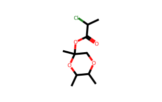 CC(Cl)C(=O)OC1(C)COC(C)C(C)O1